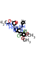 C=CC(=O)N[C@H]1CCOC[C@H]1Nc1ncc2cc(-c3c(Cl)c(OC)cc(OC)c3Cl)nc(NCC3CCCC3)c2n1